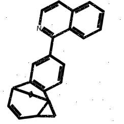 C1=CC2C3C=CC1c1cc(-c4nccc5ccccc45)ccc1C23